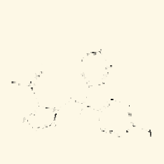 CC(=S)c1ncnn1C[Si](C)(c1ccc(F)cc1)c1ccc(F)cc1